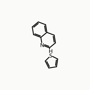 C1=C[SH](c2ccc3ccccc3n2)C=C1